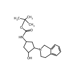 CC(C)(C)OC(=O)NC1CC(O)C(N2CCc3ccccc3C2)C1